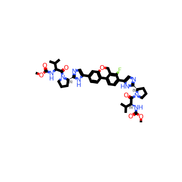 COC(=O)NC(C(=O)N1CCC[C@H]1c1ncc(-c2ccc3c(c2)OCc2c-3ccc(-c3cnc([C@@H]4CCCN4C(=O)[C@@H](NC(=O)OC)C(C)C)[nH]3)c2F)[nH]1)C(C)C